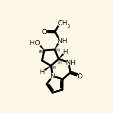 CC(=O)N[C@H]1[C@@H]2NC(=O)c3cccn3[C@@H]2C[C@H]1O